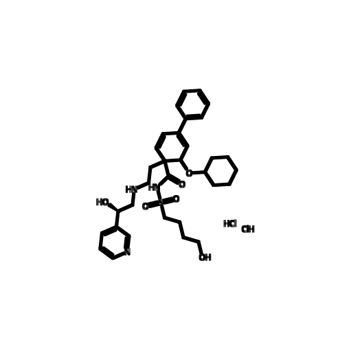 Cl.Cl.O=C(NS(=O)(=O)CCCCO)C1(CCNC[C@H](O)c2cccnc2)C=CC(c2ccccc2)=CC1OC1CCCCC1